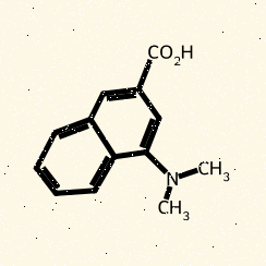 CN(C)c1cc(C(=O)O)cc2ccccc12